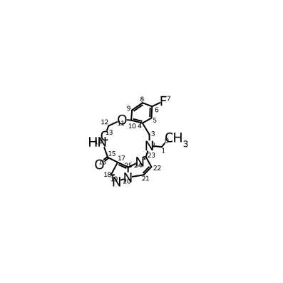 CCN1Cc2cc(F)ccc2OCCNC(=O)c2cnn3ccc1nc23